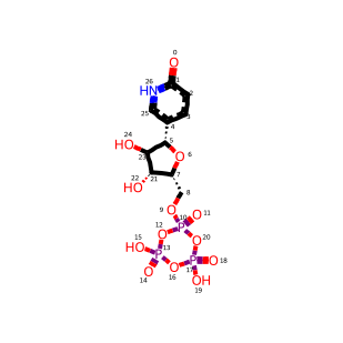 O=c1ccc([C@@H]2O[C@H](COP3(=O)OP(=O)(O)OP(=O)(O)O3)[C@H](O)C2O)c[nH]1